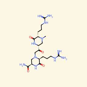 CN1C[C@H](C(=O)CN2C[C@H](C(N)=O)NC(=O)[C@@H]2CCCNC(=N)N)NC(=O)[C@@H]1CCCNC(=N)N